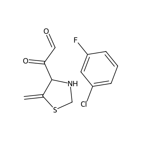 C=C1SCNC1C(=O)C=O.Fc1cccc(Cl)c1